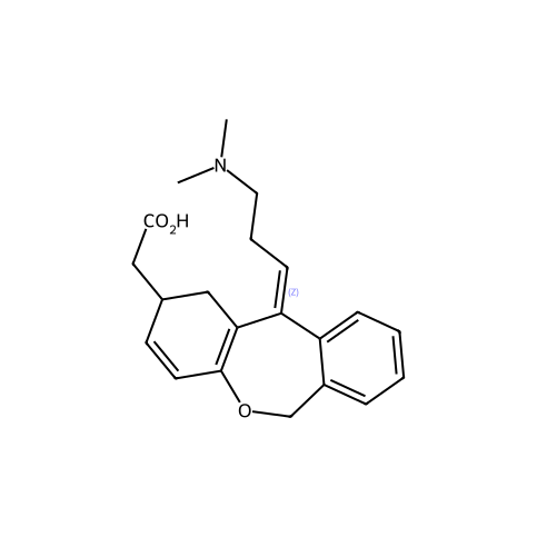 CN(C)CC/C=C1\C2=C(C=CC(CC(=O)O)C2)OCc2ccccc21